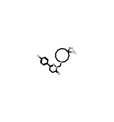 BC1(C)CCCCCCN(CN2N=C(c3ccc(F)cc3)CCC2=O)CCC1